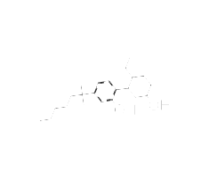 CCCCCC(C)(C)c1ccc(C2CC(O)CCC2CC)c(O)c1